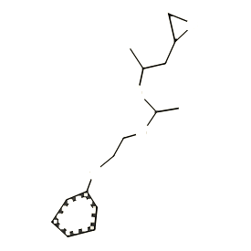 CC(CC1CO1)OC(C)OCCOc1ccccc1